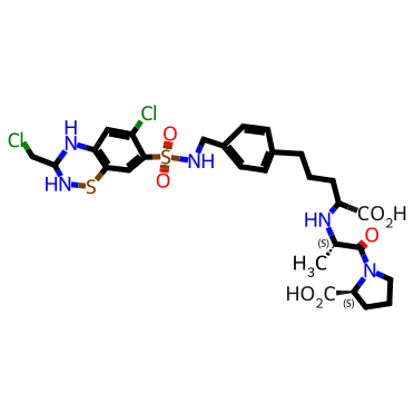 C[C@H](NC(CCCc1ccc(CNS(=O)(=O)c2cc3c(cc2Cl)NC(CCl)NS3)cc1)C(=O)O)C(=O)N1CCC[C@H]1C(=O)O